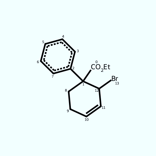 CCOC(=O)C1(c2ccccc2)CCC=CC1Br